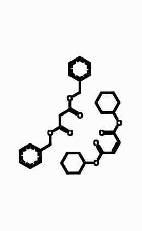 O=C(/C=C\C(=O)OC1CCCCC1)OC1CCCCC1.O=C(CC(=O)OCc1ccccc1)OCc1ccccc1